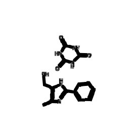 Cc1nc(-c2ccccc2)[nH]c1CO.O=c1[nH]c(=O)[nH]c(=O)[nH]1